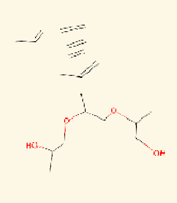 C=C.C=C.C=C.C=CC.C=CC.CC(O)COC(C)COC(C)CO